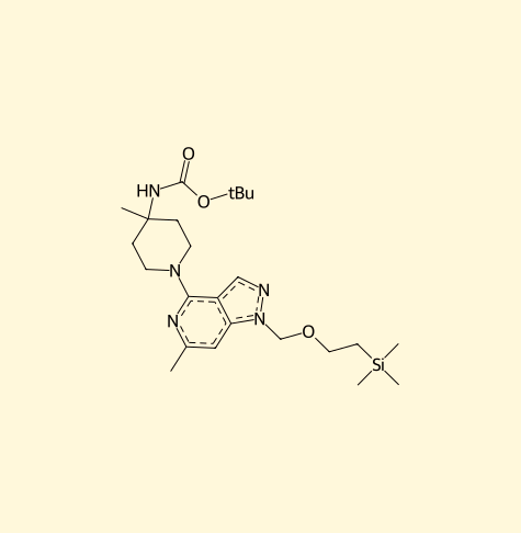 Cc1cc2c(cnn2COCC[Si](C)(C)C)c(N2CCC(C)(NC(=O)OC(C)(C)C)CC2)n1